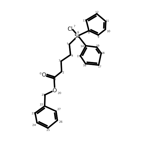 O=C(CCCC[Si](Cl)(c1ccccc1)c1ccccc1)OCc1ccccc1